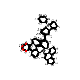 c1ccc(-c2ccccc2-c2c(-c3ccccc3)cccc2N(c2ccc(-c3ccc4c(c3)c3ccccc3n4-c3ccccc3)cc2)c2cc3ccccc3c3ccccc23)cc1